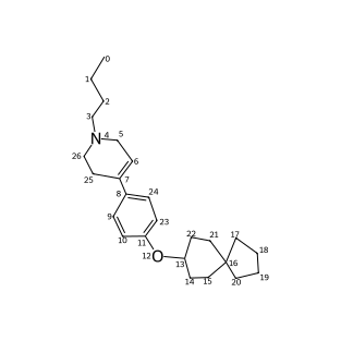 CCCCN1CC=C(c2ccc(OC3CCC4(CCCC4)CC3)cc2)CC1